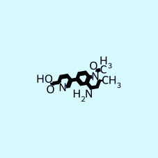 CC(=O)N1c2ccc(-c3ccc(C(=O)O)nc3)cc2[C@H](N)C[C@@H]1C